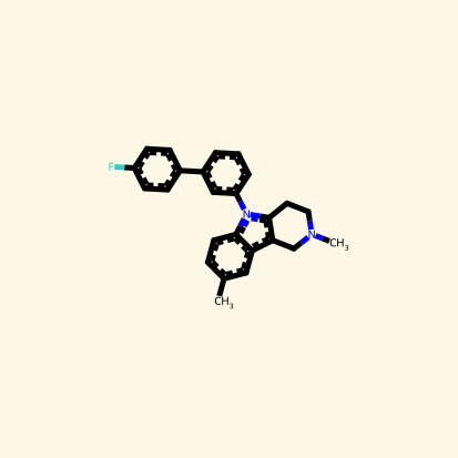 Cc1ccc2c(c1)c1c(n2-c2cccc(-c3ccc(F)cc3)c2)CCN(C)C1